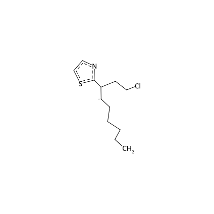 CCCCC[CH]C(CCCl)c1nccs1